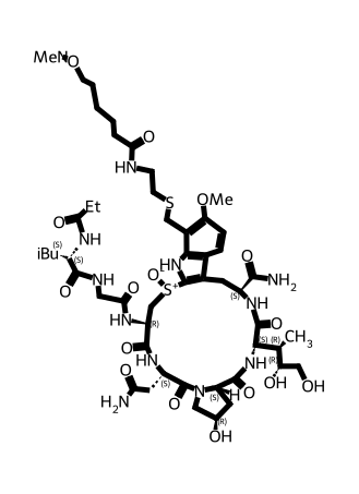 CCC(=O)N[C@H](C(=O)NCC(=O)N[C@H]1C[S+]([O-])c2[nH]c3c(CSCCNC(=O)CCCCCONC)c(OC)ccc3c2C[C@@H](C(N)=O)NC(=O)[C@H]([C@@H](C)[C@@H](O)CO)NC(=O)[C@@H]2C[C@@H](O)CN2C(=O)[C@H](CC(N)=O)NC1=O)[C@@H](C)CC